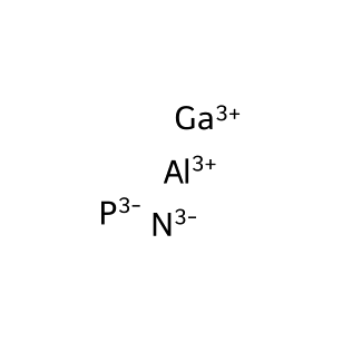 [Al+3].[Ga+3].[N-3].[P-3]